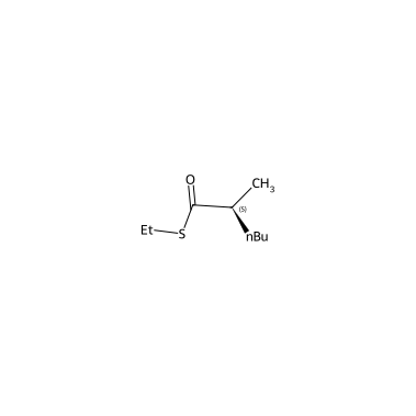 CCCC[C@H](C)C(=O)SCC